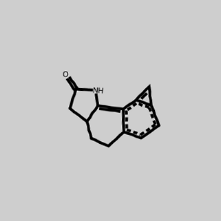 O=C1CC2CCc3ccc4c(c3=C2N1)=C4